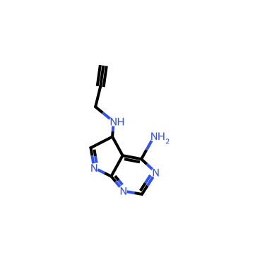 C#CCNC1C=Nc2ncnc(N)c21